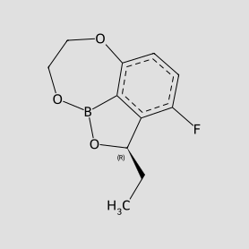 CC[C@H]1OB2OCCOc3ccc(F)c1c32